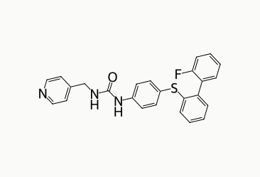 O=C(NCc1ccncc1)Nc1ccc(Sc2ccccc2-c2ccccc2F)cc1